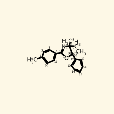 Cc1ccc(C2=NC(C)(C)[C@@](C)(c3ccccc3)O2)cc1